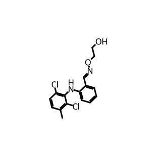 Cc1ccc(Cl)c(Nc2ccccc2C=NOCCO)c1Cl